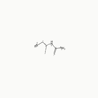 CCCCC(I)NC(N)=S